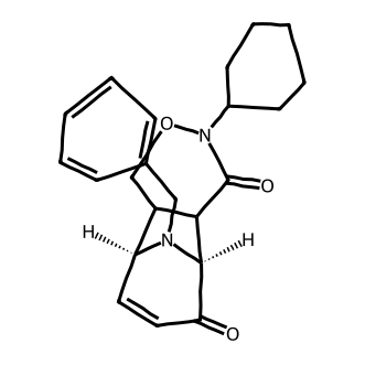 O=C1C=C[C@H]2C3CON(C4CCCCC4)C(=O)C3[C@@H]1N2Cc1ccccc1